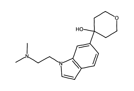 CN(C)CCn1ccc2ccc(C3(O)CCOCC3)cc21